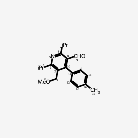 COCc1c(C(C)C)nc(C(C)C)c(C=O)c1-c1ccc(C)cc1